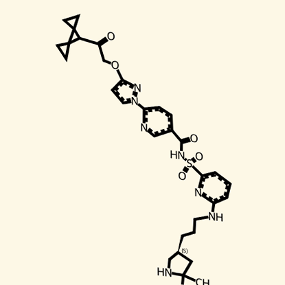 CC1(C)C[C@H](CCCNc2cccc(S(=O)(=O)NC(=O)c3ccc(-n4ccc(OCC(=O)C5C6(CC6)C56CC6)n4)nc3)n2)CN1